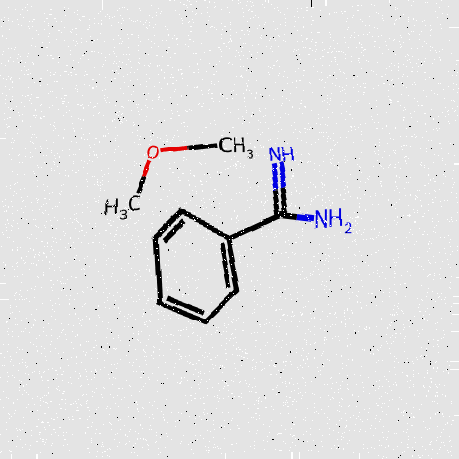 COC.N=C(N)c1ccccc1